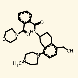 CCc1ccc(N2CCN(C)CC2)c2c1CCC(NC(=O)c1ccccc1C(=O)N1CCOCC1)C2